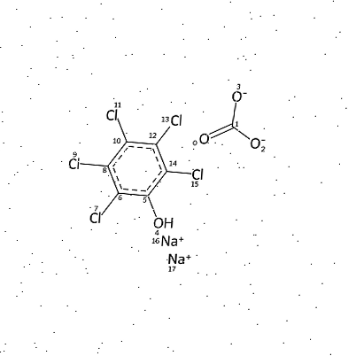 O=C([O-])[O-].Oc1c(Cl)c(Cl)c(Cl)c(Cl)c1Cl.[Na+].[Na+]